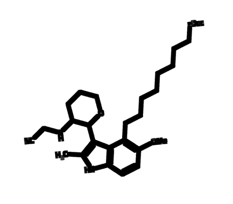 CCCCCCCCCCCCCCCCCCc1c(OC)ccc2[nH]c(C)c(C3OCCCC3NCC#N)c12